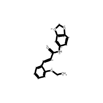 CCOc1ccccc1C=CC(=O)Nc1ccc2c(c1)OCO2